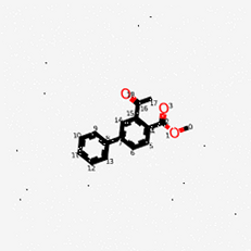 COC(=O)c1ccc(-c2ccccc2)cc1C(C)=O